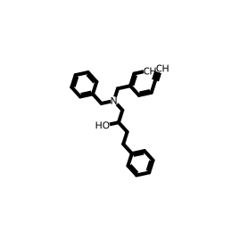 C#C/C=C\C(=C/C)CN(Cc1ccccc1)CC(O)CCc1ccccc1